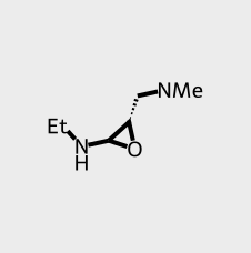 CCNC1O[C@H]1CNC